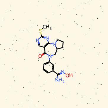 CSc1ncc2c(n1)N1CCCC1CN(c1cccc(C(N)=NO)c1)C2=O